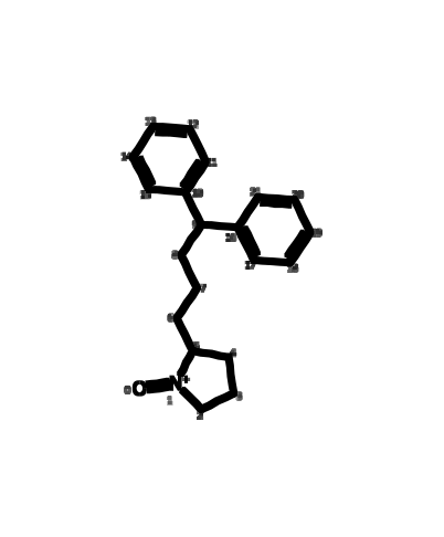 O=[N+]1CCCC1CCCC(c1ccccc1)c1ccccc1